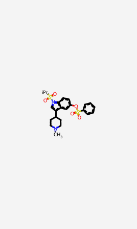 CC(C)S(=O)(=O)n1cc(C2CCN(C)CC2)c2cc(OS(=O)(=O)c3ccccc3)ccc21